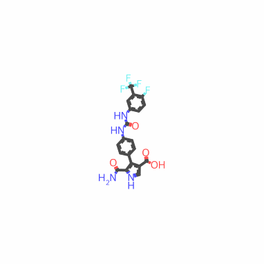 NC(=O)c1[nH]cc(C(=O)O)c1-c1ccc(NC(=O)Nc2ccc(F)c(C(F)(F)F)c2)cc1